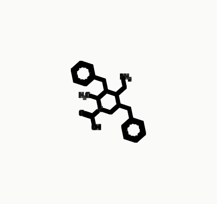 CC1C(Cc2ccccc2)C(CN)C(Cc2ccccc2)CN1C(=O)O